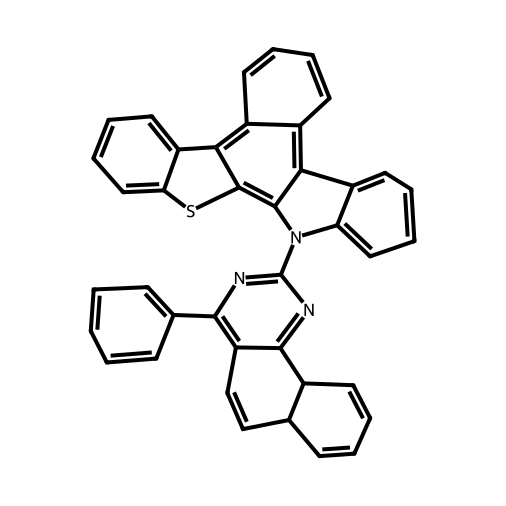 C1=CC2C=Cc3c(-c4ccccc4)nc(-n4c5ccccc5c5c6ccccc6c6c7ccccc7sc6c54)nc3C2C=C1